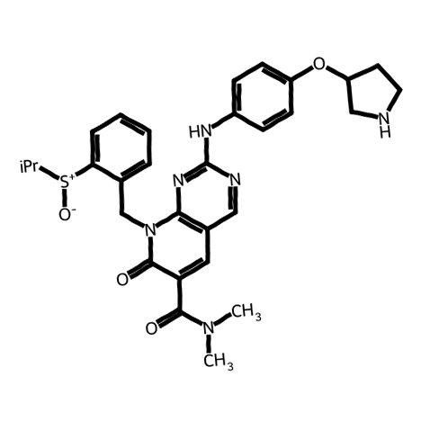 CC(C)[S+]([O-])c1ccccc1Cn1c(=O)c(C(=O)N(C)C)cc2cnc(Nc3ccc(OC4CCNC4)cc3)nc21